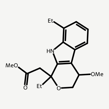 CCc1cccc2c3c([nH]c12)C(CC)(CC(=O)OC)OCC3OC